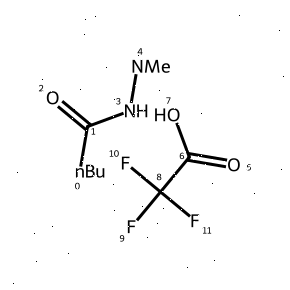 CCCCC(=O)NNC.O=C(O)C(F)(F)F